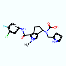 Cn1cc2c(c1C(=O)Nc1ccc(F)c(Cl)c1)CCC2N(Cc1ccc[nH]1)C(=O)O